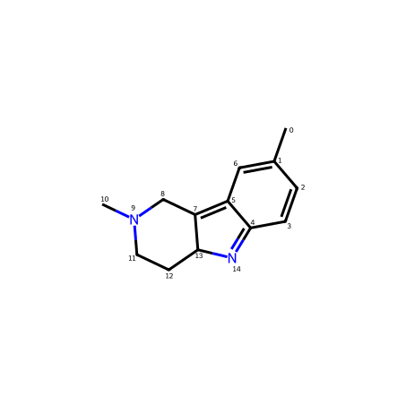 Cc1ccc2c(c1)=C1CN(C)CCC1N=2